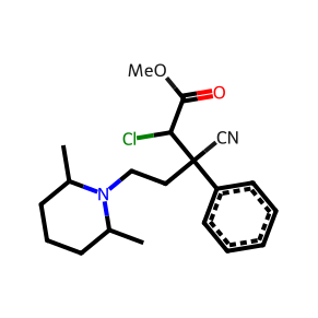 COC(=O)C(Cl)C(C#N)(CCN1C(C)CCCC1C)c1ccccc1